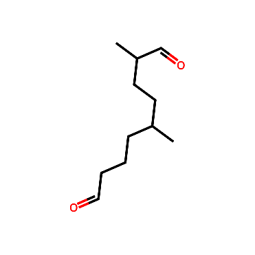 CC(C=O)CCC(C)CCCC=O